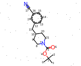 CC(C)(C)OC(=O)N1CCC(Cc2cccc(C#N)c2)CC1